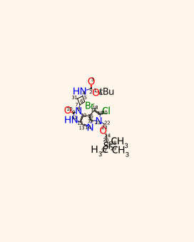 CC(C)(C)OC(=O)NC1CC(n2c(=O)[nH]c3cnc4c(c(Br)c(Cl)n4COCC[Si](C)(C)C)c32)C1